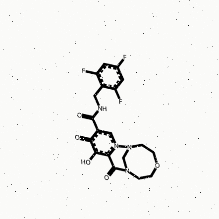 O=C(NCc1c(F)cc(F)cc1F)c1cn2c(c(O)c1=O)C(=O)N1CCOCCN2C1